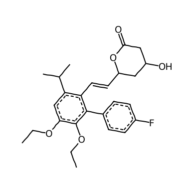 CCOc1cc(C(C)C)c(/C=C/C2CC(O)CC(=O)O2)c(-c2ccc(F)cc2)c1OCC